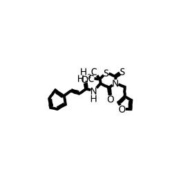 CC1(C)SC(=S)N(Cc2ccoc2)C(=O)C1NC(=O)C=Cc1ccccc1